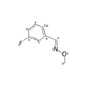 CON=Cc1[c]c(F)ccc1